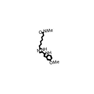 CNC(=O)CCCCCCc1ncc(-c2cc3cc(OC)ccc3[nH]2)[nH]1